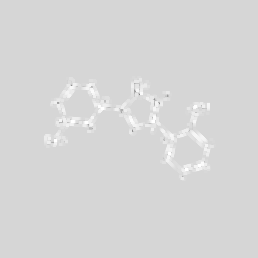 Oc1ccccc1-c1cc(-c2cccc(Br)c2)[nH]n1